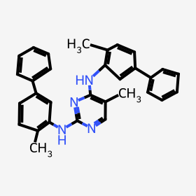 Cc1ccc(-c2ccccc2)cc1Nc1ncc(C)c(Nc2cc(-c3ccccc3)ccc2C)n1